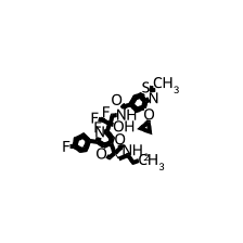 CCCC[C@]1(C(N)=O)COc2c1cc(C(O)(CNC(=O)c1cc(OC3CC3)c3nc(C)sc3c1)C(F)(F)F)nc2-c1ccc(F)cc1